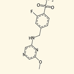 COc1cncc(NCc2ccc(S(N)(=O)=O)c(F)c2)n1